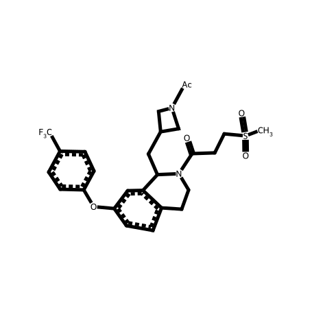 CC(=O)N1CC(CC2c3cc(Oc4ccc(C(F)(F)F)cc4)ccc3CCN2C(=O)CCS(C)(=O)=O)C1